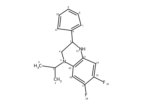 CC(C)N1CC(c2ccccc2)Nc2cc(F)c(F)cc21